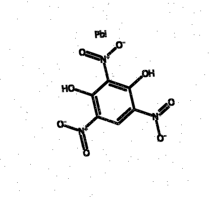 O=[N+]([O-])c1cc([N+](=O)[O-])c(O)c([N+](=O)[O-])c1O.[Pb]